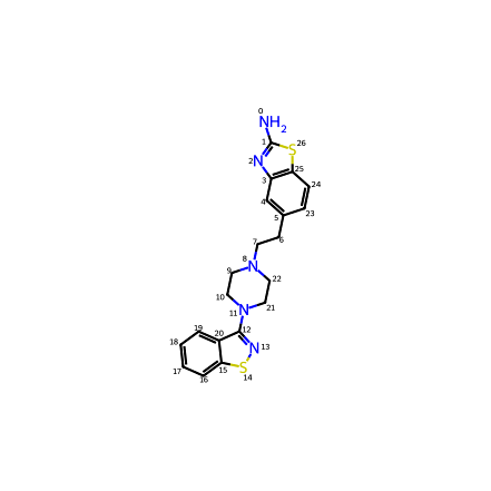 Nc1nc2cc(CCN3CCN(c4nsc5ccccc45)CC3)ccc2s1